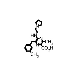 Cc1cccc(Cc2nc(C(=O)O)c(C)nc2NCCN2CCCC2)c1